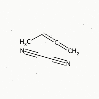 C=C=CC.N#CC#N